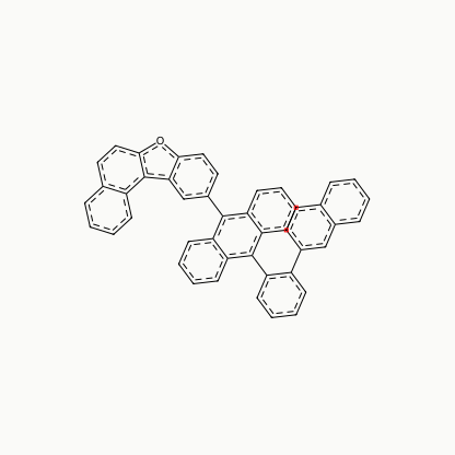 c1ccc(-c2c3ccccc3c(-c3ccc4oc5ccc6ccccc6c5c4c3)c3ccccc23)c(-c2ccc3ccccc3c2)c1